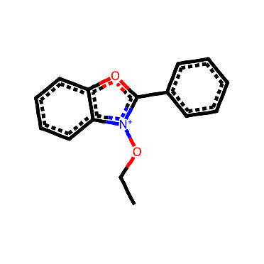 CCO[n+]1c(-c2ccccc2)oc2ccccc21